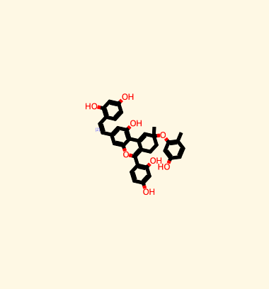 Cc1ccc(O)cc1OC1(C)C=C2C(=C(c3ccc(O)cc3O)Oc3cc(/C=C\c4ccc(O)cc4O)cc(O)c32)CC1